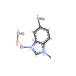 CCn1c[n+](C)c2ccc(OC)cc21.O=C[O-]